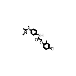 CN=C(C)N(C)c1ccc(NC(=O)COc2ccc(Cl)cc2C)cc1